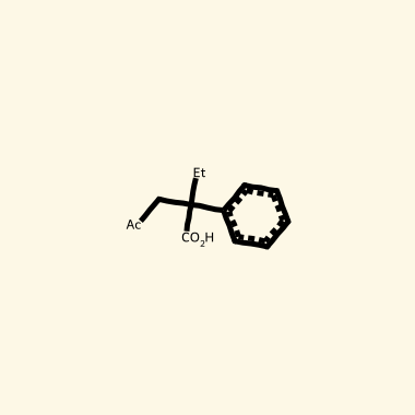 CCC(CC(C)=O)(C(=O)O)c1ccccc1